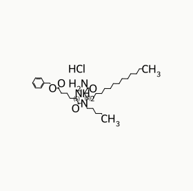 CCCCCCCCCCCCC[C@@H](CC(N)=O)N(CCCCC)C(=O)[C@@H](N)CCCC(=O)OCc1ccccc1.Cl